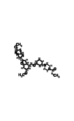 CCC(=O)N1CCN(c2cccc(OCc3cc(OC)cc4oc(-c5cn6nc(OC)sc6n5)cc34)c2)CC1